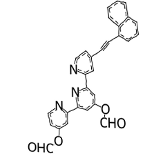 O=COc1ccnc(-c2cc(OC=O)cc(-c3cc(C#Cc4cccc5ccccc45)ccn3)n2)c1